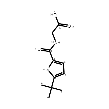 CC(C)(C)c1ccc(C(=O)NCC(=O)O)s1